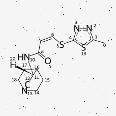 Cc1nnc(S/C=C\C(=O)N[C@H]2CN3CCC2CC3)s1